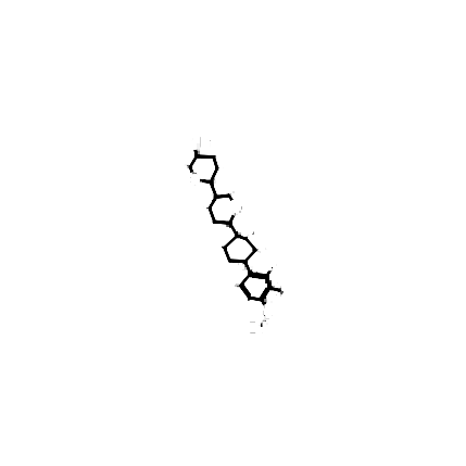 CCCC1CCC(C2CCC(C3CCC(c4ccc(OCC)c(F)c4F)CC3)OC2)OC1